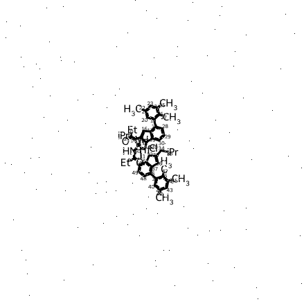 CCC(=O)N[B](NC(=O)CC)[Hf]([Cl])([Cl])([CH]1C(CC(C)C)=Cc2c(-c3cc(C)cc(C)c3C)cccc21)[CH]1C(CC(C)C)=Cc2c(-c3cc(C)cc(C)c3C)cccc21